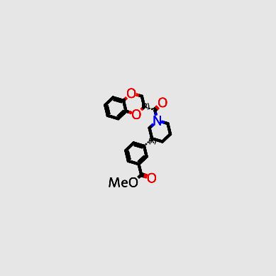 COC(=O)c1cccc([C@H]2CCCN(C(=O)[C@H]3COc4ccccc4O3)C2)c1